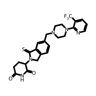 O=C1CCC(N2Cc3ccc(CN4CCN(c5ncccc5C(F)(F)F)CC4)cc3C2=S)C(=O)N1